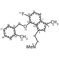 CNCCc1cn(C)c2ccc(F)c(OCc3ccccc3C)c12